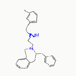 Cc1cccc(CNCCN2Cc3ccccc3CC2Cc2ccccc2)c1